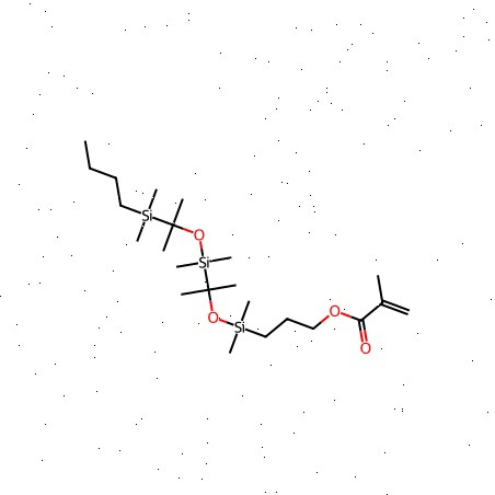 C=C(C)C(=O)OCCC[Si](C)(C)OC(C)(C)[Si](C)(C)OC(C)(C)[Si](C)(C)CCCC